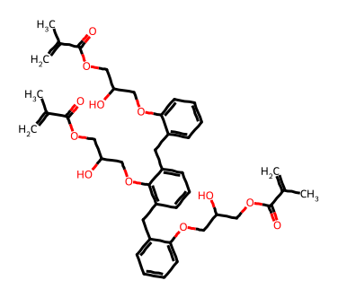 C=C(C)C(=O)OCC(O)COc1ccccc1Cc1cccc(Cc2ccccc2OCC(O)COC(=O)C(=C)C)c1OCC(O)COC(=O)C(=C)C